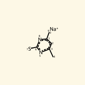 Cc1cc(C)nc([S-])n1.[Na+]